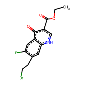 CCOC(=O)c1c[nH]c2cc(CCBr)c(F)cc2c1=O